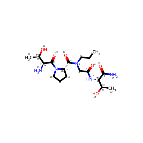 CCCN(CC(=O)N[C@H](C(N)=O)[C@@H](C)O)C(=O)[C@@H]1CCCN1C(=O)[C@@H](N)[C@@H](C)O